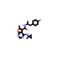 Cc1oc2ncnc(NC3(C)CC3)c2c1C(=O)NC(C)Cc1ccc(F)cc1